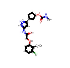 CC(C)NC(=O)O[C@@H]1CC[C@H](c2cc(NC(=O)COc3cccc(Cl)c3C=O)n[nH]2)C1